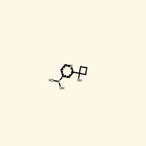 OB(O)c1ccnc(C2(O)CCC2)c1